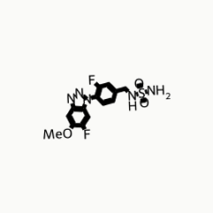 COc1cc2nnn(-c3ccc(CNS(N)(=O)=O)cc3F)c2cc1F